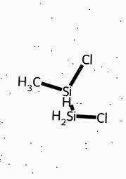 C[SiH](Cl)[SiH2]Cl